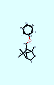 CC12CCC(C1)C(C)(C)C2[CH]Oc1ccccc1